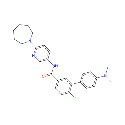 CN(C)c1ccc(-c2cc(C(=O)Nc3ccc(N4CCCCCC4)nc3)ccc2Cl)cc1